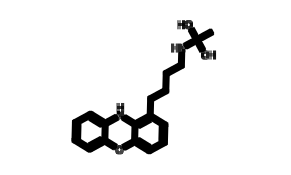 CC(O)(O)NCCCCc1cccc2c1Nc1ccccc1O2